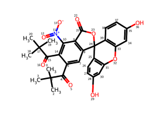 CC(C)(C)C(=O)c1cc2c(c([N+](=O)[O-])c1C(=O)C(C)(C)C)C(=O)OC21c2ccc(O)cc2Oc2cc(O)ccc21